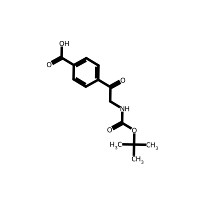 CC(C)(C)OC(=O)NCC(=O)c1ccc(C(=O)O)cc1